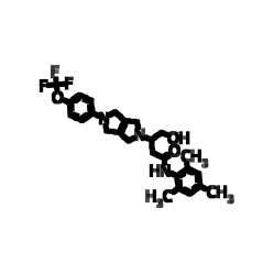 Cc1cc(C)c(NC(=O)CC(CO)N2CC3=C(CN(c4ccc(OC(F)(F)F)cc4)C3)C2)c(C)c1